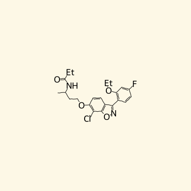 CCOc1cc(F)ccc1-c1noc2c(Cl)c(OCCC(C)NC(=O)CC)ccc12